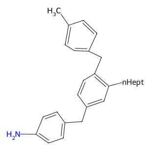 CCCCCCCc1cc(Cc2ccc(N)cc2)ccc1Cc1ccc(C)cc1